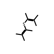 CC(C)=C(C)SC(C)=C(C)C